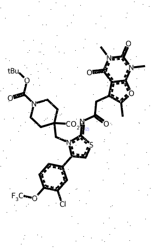 Cc1oc2c(c1CC(=O)/N=c1\scc(-c3ccc(OC(F)(F)F)c(Cl)c3)n1CC1(C(=O)O)CCN(C(=O)OC(C)(C)C)CC1)c(=O)n(C)c(=O)n2C